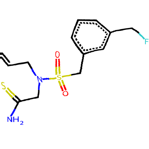 C=CCN(CC(N)=S)S(=O)(=O)Cc1cccc(CF)c1